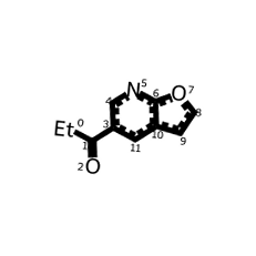 CCC(=O)c1cnc2occc2c1